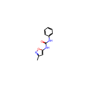 Cc1cc(NC(=O)Nc2ccccc2)on1